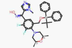 C[C@@H]1CN(c2c(CO[Si](c3ccccc3)(c3ccccc3)C(C)(C)C)cc(/C(=N/O)c3cncn3C)c(F)c2F)C[C@H](C)O1